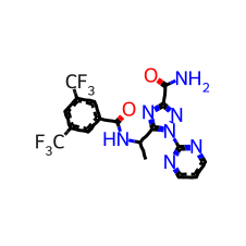 CC(NC(=O)c1cc(C(F)(F)F)cc(C(F)(F)F)c1)c1nc(C(N)=O)nn1-c1ncccn1